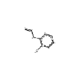 C=CCc1ccccc1[S]